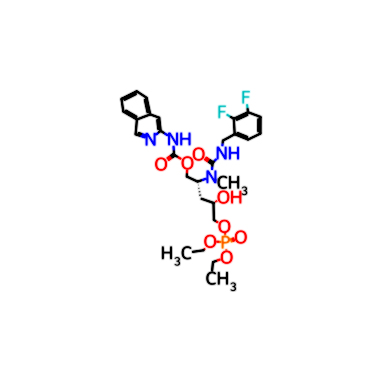 CCOP(=O)(OCC)OC[C@@H](O)C[C@H](COC(=O)Nc1cc2ccccc2cn1)N(C)C(=O)NCc1cccc(F)c1F